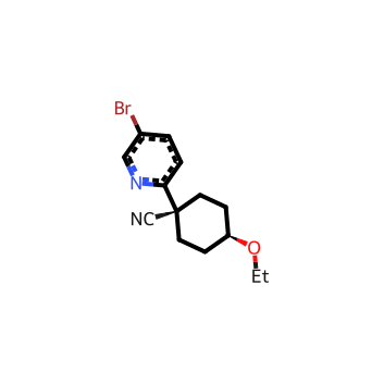 CCO[C@H]1CC[C@](C#N)(c2ccc(Br)cn2)CC1